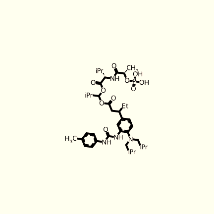 CCC(CC(=O)OC(OC(=O)[C@@H](NC(=O)[C@H](C)OP(=O)(O)O)C(C)C)C(C)C)c1ccc(N(CC(C)C)CC(C)C)c(NC(=O)Nc2ccc(C)cc2)c1